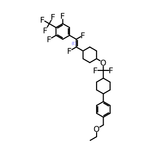 CCOCc1ccc(C2CCC(C(F)(F)OC3CCC(/C(F)=C(\F)c4cc(F)c(C(F)(F)F)c(F)c4)CC3)CC2)cc1